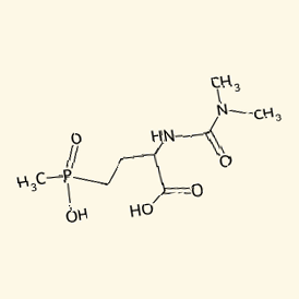 CN(C)C(=O)NC(CCP(C)(=O)O)C(=O)O